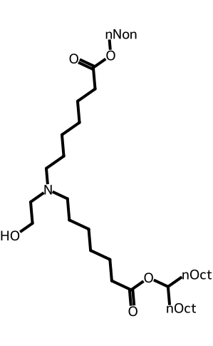 CCCCCCCCCOC(=O)CCCCCCN(CCO)CCCCCCC(=O)OC(CCCCCCCC)CCCCCCCC